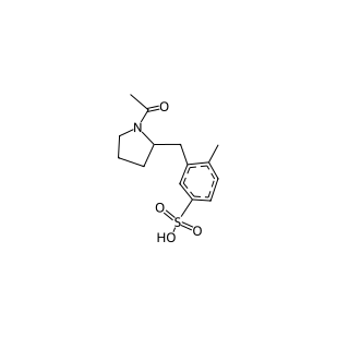 CC(=O)N1CCCC1Cc1cc(S(=O)(=O)O)ccc1C